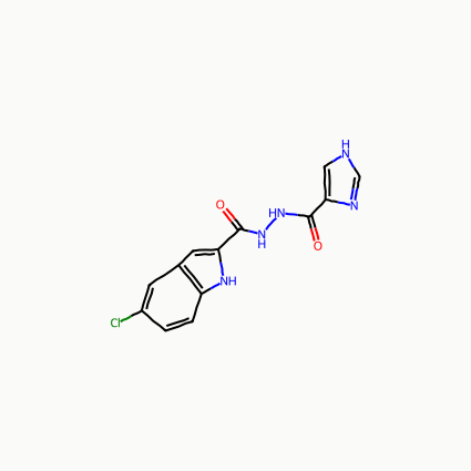 O=C(NNC(=O)c1cc2cc(Cl)ccc2[nH]1)c1c[nH]cn1